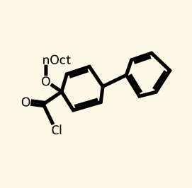 CCCCCCCCOC1(C(=O)Cl)C=CC(c2ccccc2)C=C1